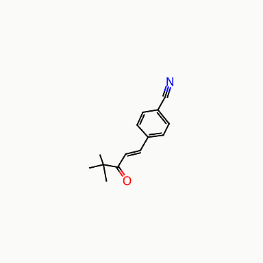 CC(C)(C)C(=O)C=Cc1ccc(C#N)cc1